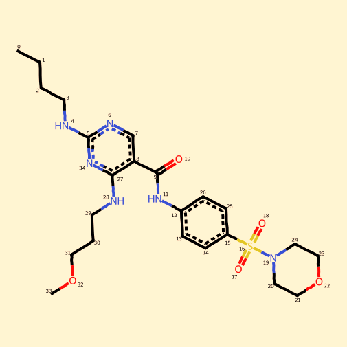 CCCCNc1ncc(C(=O)Nc2ccc(S(=O)(=O)N3CCOCC3)cc2)c(NCCCOC)n1